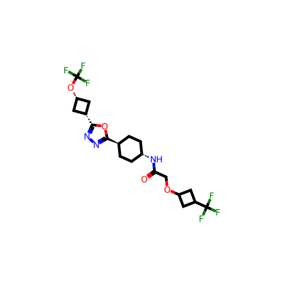 O=C(COC1CC(C(F)(F)F)C1)N[C@H]1CC[C@H](c2nnc([C@H]3C[C@@H](OC(F)(F)F)C3)o2)CC1